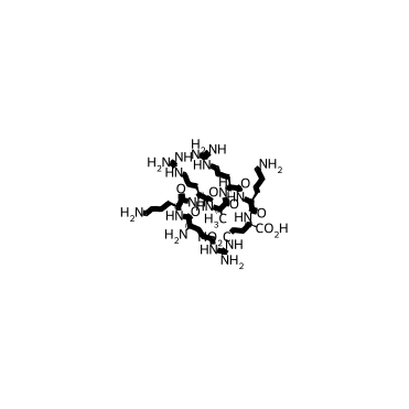 C[C@H](NC(=O)[C@H](CCCNC(=N)N)NC(=O)[C@H](CCCCN)NC(=O)[C@@H](N)CCCNC(=N)N)C(=O)N[C@@H](CCCNC(=N)N)C(=O)N[C@@H](CCCCN)C(=O)N[C@@H](CCC(=O)O)C(=O)O